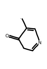 [CH2]C1=CN=CCC1=O